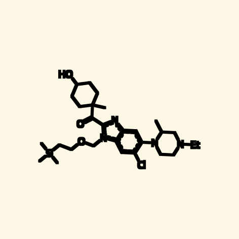 CCN1CCN(c2cc3nc(C(=O)C4(C)CCC(O)CC4)n(COCC[Si](C)(C)C)c3cc2Cl)C(C)C1